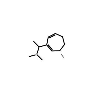 CC(C1=C[C@@H](C)CCC=C1)N(C)C